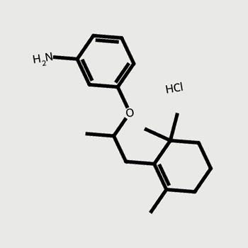 CC1=C(CC(C)Oc2cccc(N)c2)C(C)(C)CCC1.Cl